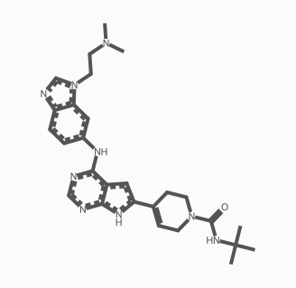 CN(C)CCn1cnc2ccc(Nc3ncnc4[nH]c(C5=CCN(C(=O)NC(C)(C)C)CC5)cc34)cc21